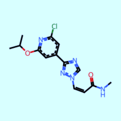 CNC(=O)/C=C\n1cnc(-c2cc(Cl)nc(OC(C)C)c2)n1